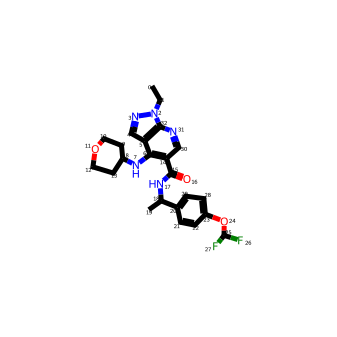 CCn1ncc2c(NC3CCOCC3)c(C(=O)NC(C)c3ccc(OC(F)F)cc3)cnc21